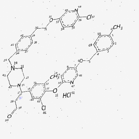 Cc1ccc(COc2ccc(Oc3c(C)cc(/C(=C\C=O)N4CCN(Cc5ccc(CCOc6ccc(Cl)nc6)cc5)CC4)cc3Cl)nc2)cc1.Cl